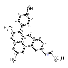 Cc1cc2cc(O)ccc2c(Oc2ccc(/C=C/C(=O)O)cc2)c1-c1ccc(O)cc1